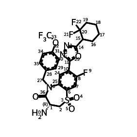 N[C@H]1CS(=O)(=O)c2cc(F)c(-c3nnc(C4CCCCC4(F)F)o3)cc2N(Cc2ccc(OC(F)(F)F)cc2)C1=O